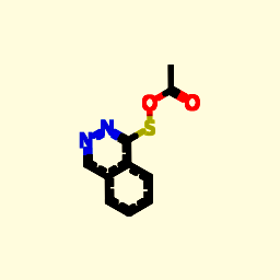 CC(=O)OSc1nncc2ccccc12